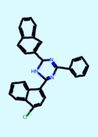 Clc1ccc(C2=NC(c3ccccc3)=NC(c3ccc4ccccc4c3)N2)c2ccccc12